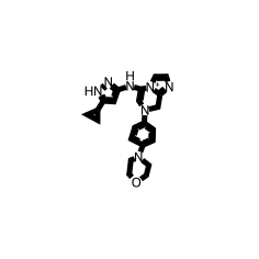 C1=C[N+]2C(Nc3cc(C4CC4)[nH]n3)=CN(c3ccc(N4CCOCC4)cc3)CC2=N1